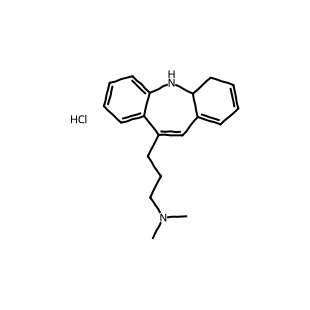 CN(C)CCCC1=CC2=CC=CCC2Nc2ccccc21.Cl